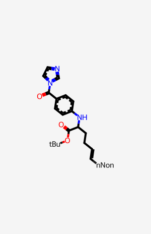 CCCCCCCCC/C=C/CCC(Nc1ccc(C(=O)n2ccnc2)cc1)C(=O)OC(C)(C)C